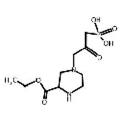 CCOC(=O)C1CN(CC(=O)CP(=O)(O)O)CCN1